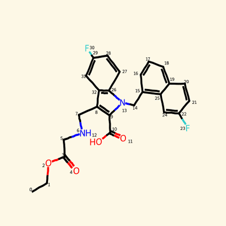 CCOC(=O)CNCc1c(C(=O)O)n(Cc2cccc3ccc(F)cc23)c2ccc(F)cc12